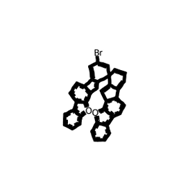 BrC1=CC2(C=CC=C3C2=Cc2c3ccc3c2oc2ccccc23)C2=Cc3c(ccc4c3oc3ccccc34)C2=C1